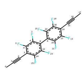 CC#Cc1c(F)c(F)c(-c2c(F)c(F)c(C#CC)c(F)c2F)c(F)c1F